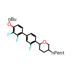 CCCCCC1CCC(c2ccc(-c3ccc(OCCCC)c(F)c3F)cc2F)OC1